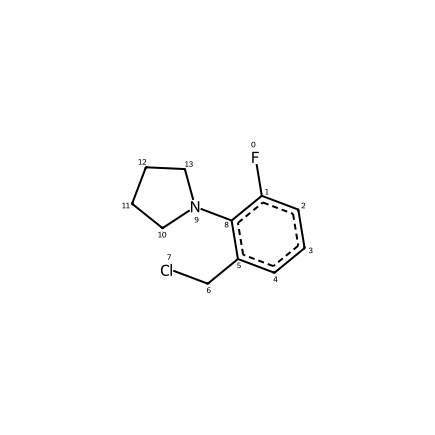 Fc1cccc(CCl)c1N1CCCC1